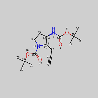 C#CC[C@@H]1[C@H](NC(=O)OC(C)(C)C)CCN1C(=O)OC(C)(C)C